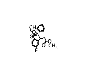 CCOP1(=O)c2ccc(F)cc2C(CC(=O)OC)N1c1ccccc1